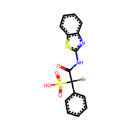 O=C(Nc1nc2ccccc2s1)C(Br)(c1ccccc1)S(=O)(=O)O